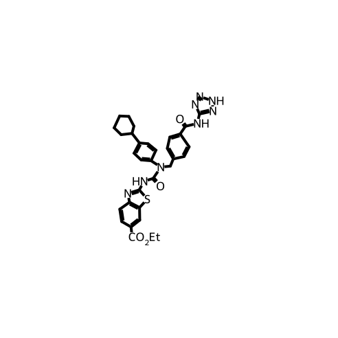 CCOC(=O)c1ccc2nc(NC(=O)N(Cc3ccc(C(=O)Nc4nn[nH]n4)cc3)c3ccc(C4CCCCC4)cc3)sc2c1